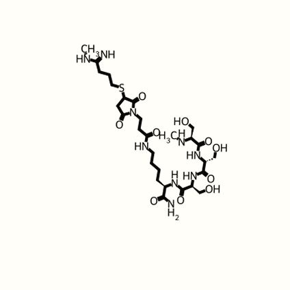 CNC(=N)CCCSC1CC(=O)N(CCC(=O)NCCCC[C@@H](NC(=O)[C@H](CO)NC(=O)[C@@H](CO)NC(=O)[C@H](CO)NC)C(N)=O)C1=O